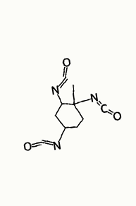 CC1(N=C=O)CCC(N=C=O)CC1N=C=O